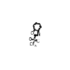 O=S(=O)(c1nc2ccccc2o1)C(F)(F)F